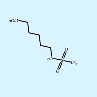 CCCCCCCCCCCCCNS(=O)(=O)C(F)(F)F